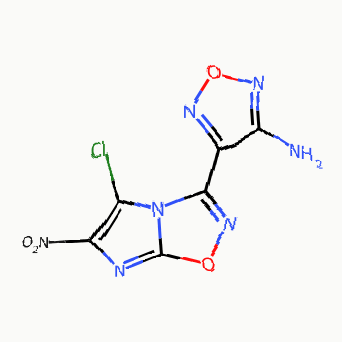 Nc1nonc1-c1noc2nc([N+](=O)[O-])c(Cl)n12